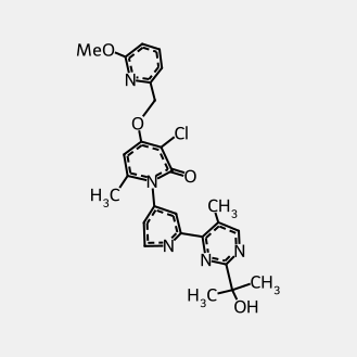 COc1cccc(COc2cc(C)n(-c3ccnc(-c4nc(C(C)(C)O)ncc4C)c3)c(=O)c2Cl)n1